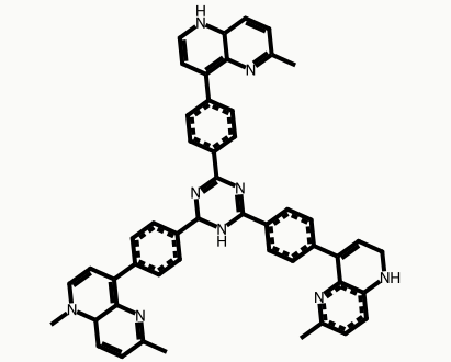 CC1=NC2=C(c3ccc(C4=NC(c5ccc(C6=C7N=C(C)C=CC7N(C)C=C6)cc5)NC(c5ccc(C6=CCNc7ccc(C)nc76)cc5)=N4)cc3)C=CNC2C=C1